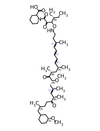 CC[C@@H](C)C(ONCC/C(C)=C/C=C/C=C/[C@@H](C)C[C@@H](C)C(=O)[C@@H](C/C(C)=C/[C@@H](C)C(=O)CC[C@H](C)CC1CCC[C@H](OC)C1)OC)C(=O)C(=O)N1CCCCC1C(=O)O